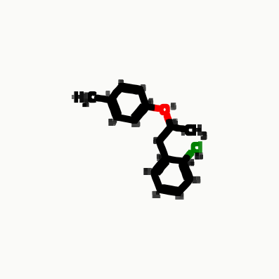 [CH2]c1ccc(OC(C)Cc2ccccc2Cl)cc1